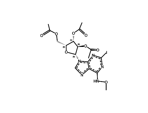 CONc1nc(I)nc2c1ncn2[C@@H]1O[C@H](COC(C)=O)[C@H](OC(C)=O)[C@H]1OC(C)=O